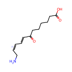 NC/C=C\C=CC(=O)CCCCCC(=O)O